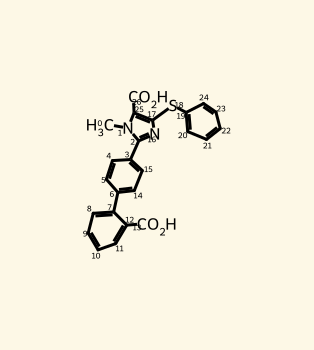 Cn1c(-c2ccc(-c3ccccc3C(=O)O)cc2)nc(Sc2ccccc2)c1C(=O)O